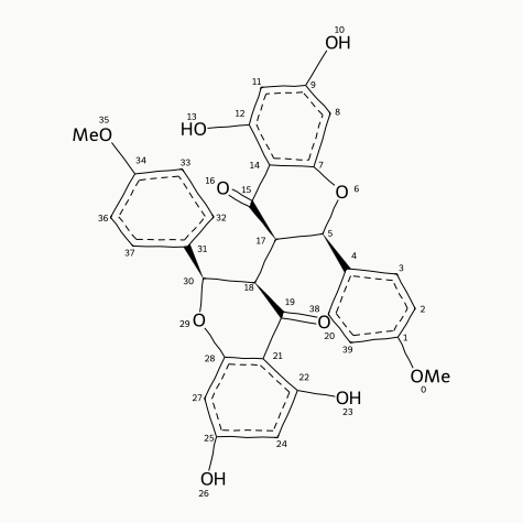 COc1ccc([C@@H]2Oc3cc(O)cc(O)c3C(=O)[C@@H]2[C@H]2C(=O)c3c(O)cc(O)cc3O[C@H]2c2ccc(OC)cc2)cc1